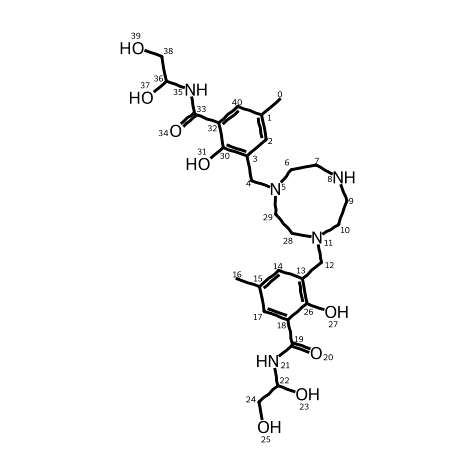 Cc1cc(CN2CCNCCN(Cc3cc(C)cc(C(=O)NC(O)CO)c3O)CC2)c(O)c(C(=O)NC(O)CO)c1